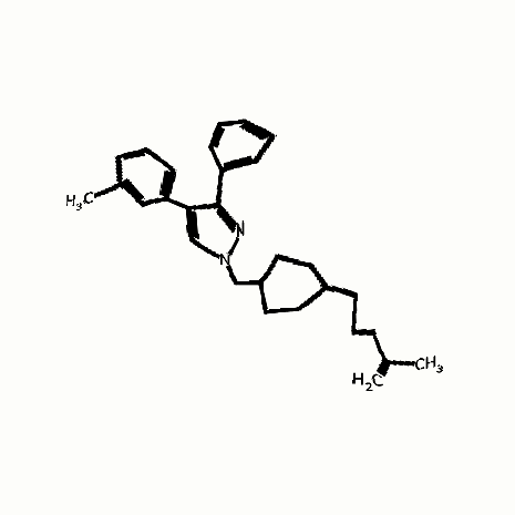 C=C(C)CCCC1CCC(Cn2cc(-c3cccc(C)c3)c(-c3ccccc3)n2)CC1